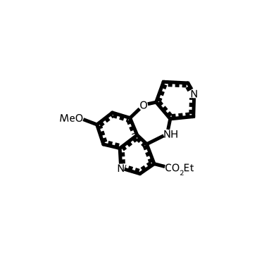 CCOC(=O)c1cnc2cc(OC)cc3c2c1Nc1cnccc1O3